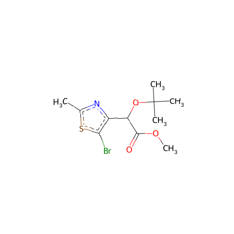 COC(=O)C(OC(C)(C)C)c1nc(C)sc1Br